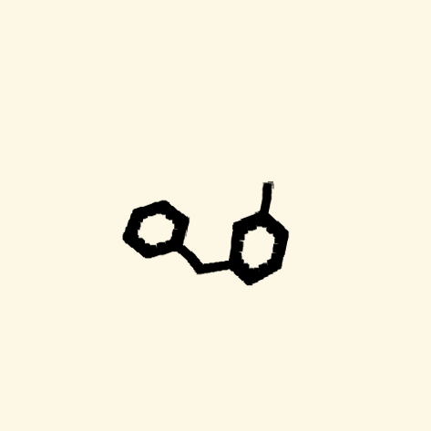 [CH]c1cccc(Cc2ccccc2)c1